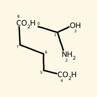 CC(N)O.O=C(O)CCCC(=O)O